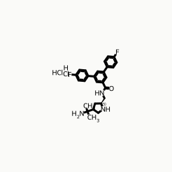 CC(C)(N)C1CN[C@H](CNC(=O)c2cc(-c3ccc(F)cc3)cc(-c3ccc(F)cc3)c2)C1.Cl.Cl